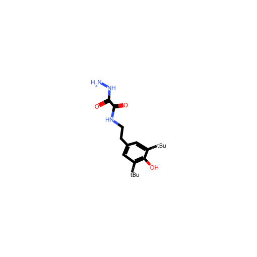 CC(C)(C)c1cc(CCNC(=O)C(=O)NN)cc(C(C)(C)C)c1O